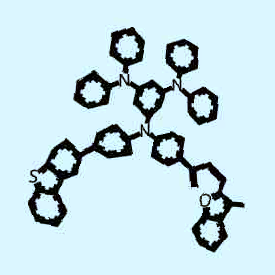 C=C(/C=C\c1oc2ccccc2c1C)c1ccc(N(c2ccc(-c3ccc4sc5ccccc5c4c3)cc2)c2cc(N(c3ccccc3)c3ccccc3)cc(N(c3ccccc3)c3ccccc3)c2)cc1